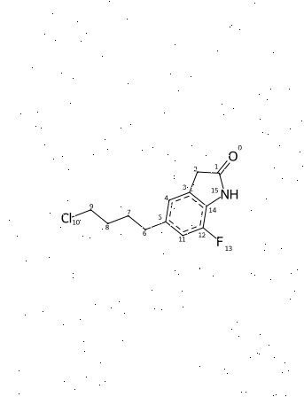 O=C1Cc2cc(CCCCCl)cc(F)c2N1